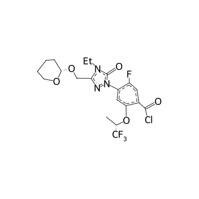 CCn1c(CO[C@H]2CCCCO2)nn(-c2cc(O[C@@H](C)C(F)(F)F)c(C(=O)Cl)cc2F)c1=O